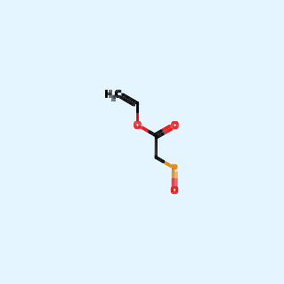 C=COC(=O)CP=O